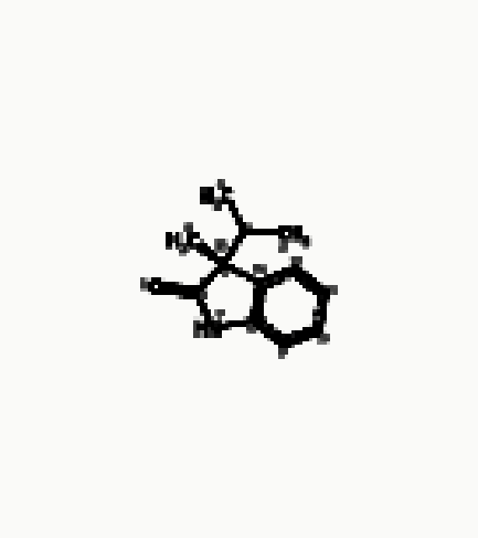 CC(C)[C@@]1(C)C(=O)Nc2ccccc21